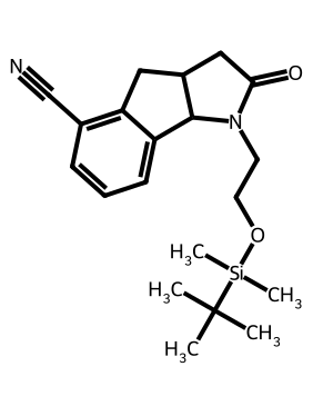 CC(C)(C)[Si](C)(C)OCCN1C(=O)CC2Cc3c(C#N)cccc3C21